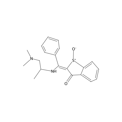 CC(CN(C)C)NC(=C1C(=O)c2ccccc2[S+]1[O-])c1ccccc1